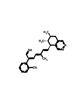 CC(/C=C/[C@@H]1c2cnncc2C[C@H](C)[C@H]1C)=C\C=C(/C=N)c1ccccc1C#N